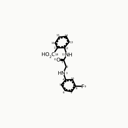 O=C(CNc1cccc(F)c1)Nc1ccccc1C(=O)O